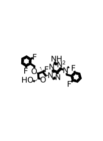 CN(Cc1c(F)cccc1F)c1nc(N)nc2c1ncn2[C@@H]1O[C@H](CO)[C@@H](OCc2c(F)cccc2F)[C@@]1(C)F